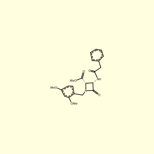 COC(=O)[C@@H]1[C@H](NC(=O)Cc2ccccc2)C(=O)N1Cc1ccc(OC)cc1OC